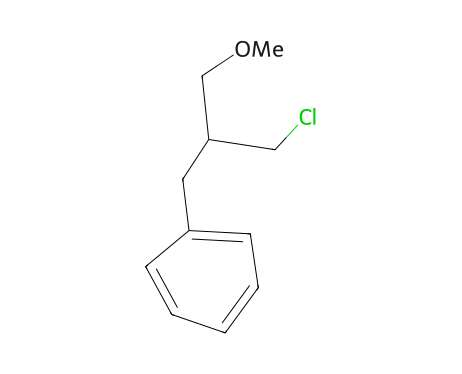 COCC(CCl)Cc1ccccc1